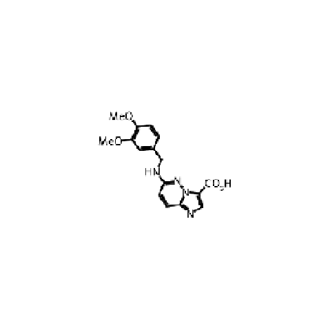 COc1ccc(CNc2ccc3ncc(C(=O)O)n3n2)cc1OC